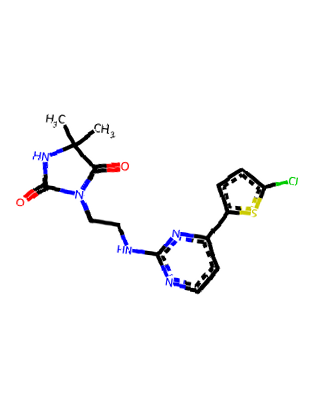 CC1(C)NC(=O)N(CCNc2nccc(-c3ccc(Cl)s3)n2)C1=O